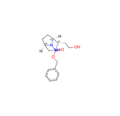 O=C(OCc1ccccc1)N1[C@@H]2CC[C@H]1[C@H](CCO)NC2